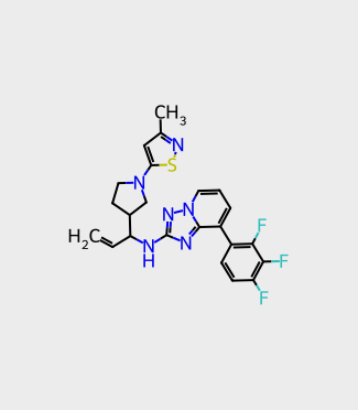 C=CC(Nc1nc2c(-c3ccc(F)c(F)c3F)cccn2n1)C1CCN(c2cc(C)ns2)C1